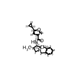 C[C@H]1CN(Cc2ccccc2Cl)C[C@H]1NC(=O)c1cc(C2CC2)on1